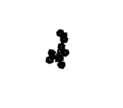 c1ccc(-c2nc(-c3cccc4c3oc3ccc(-c5ccc6sc7ccccc7c6c5)cc34)nc(-n3c4ccccc4c4ccccc43)n2)cc1